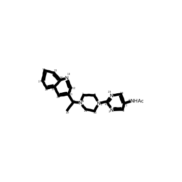 CC(=O)Nc1cnc(N2CCN(C(C)c3cnc4ccccc4c3)CC2)nc1